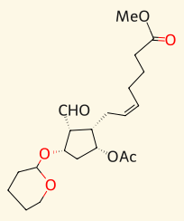 COC(=O)CCC/C=C\C[C@H]1[C@@H](C=O)[C@@H](OC2CCCCO2)C[C@H]1OC(C)=O